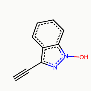 C#Cc1nn(O)c2ccccc12